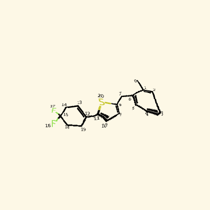 Cc1ccccc1Cc1ccc(C2=CCC(F)(F)CC2)s1